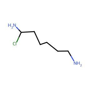 NCCCCCC(N)Cl